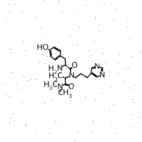 C[C@H](C(=O)N(C)C)N(CCCc1cncnc1)C(=O)C(N)Cc1ccc(O)cc1